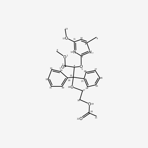 COC(=O)C(Oc1nc(C)cc(OC)n1)C(OCCOC(C)=O)(c1ccccc1)c1ccccc1